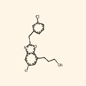 OCCCc1cc(Cl)cc2nc(Cc3cccc(Cl)c3)oc12